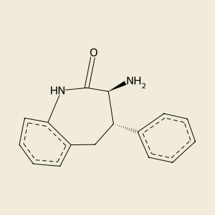 N[C@@H]1C(=O)Nc2ccccc2C[C@H]1c1ccccc1